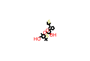 Cc1cc(SC2=C(O)C[C@@](CCc3ccsc3)(C3CCCC3)OC2=O)c(C(C)(C)C)cc1CO